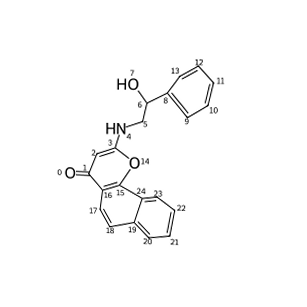 O=c1cc(NCC(O)c2ccccc2)oc2c1ccc1ccccc12